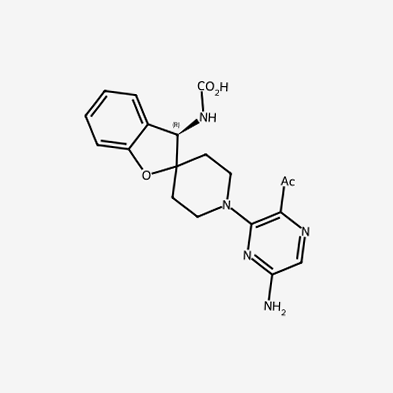 CC(=O)c1ncc(N)nc1N1CCC2(CC1)Oc1ccccc1[C@H]2NC(=O)O